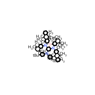 Cc1cc2c(cc1N1c3cc4c(cc3B3c5cc6c(cc5N(c5cc7c(cc5C)C(C)(C)c5ccccc5C7(C)C)c5cc(N(c7ccc(C(C)(C)C)cc7)c7ccc(C(C)(C)C)cc7)cc1c53)C(C)(C)CCC6(C)C)C(C)(C)c1ccccc1C4(C)C)C(C)(C)CCC2(C)C